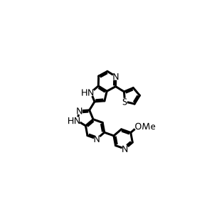 COc1cncc(-c2cc3c(-c4cc5c(-c6cccs6)nccc5[nH]4)n[nH]c3cn2)c1